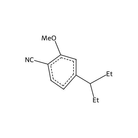 CCC(CC)c1ccc(C#N)c(OC)c1